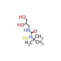 CC(C)(C)N(S)C(=O)NCC(O)CO